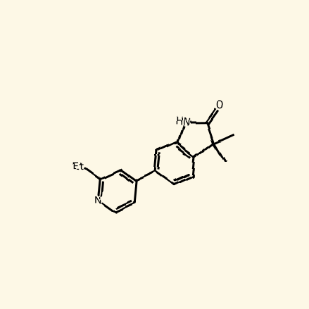 CCc1cc(-c2ccc3c(c2)NC(=O)C3(C)C)ccn1